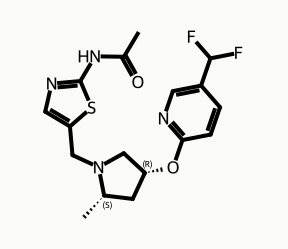 CC(=O)Nc1ncc(CN2C[C@H](Oc3ccc(C(F)F)cn3)C[C@@H]2C)s1